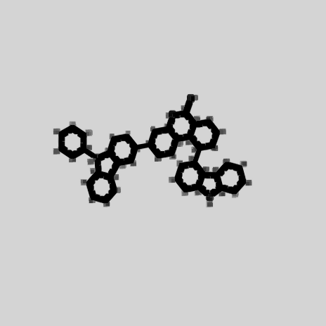 O=c1oc2cc(-c3ccc4c(c3)c3ccccc3n4-c3ccccc3)ccc2c2c(-c3cccc4oc5ccccc5c34)cccc12